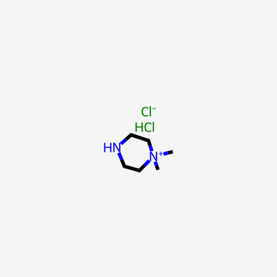 C[N+]1(C)CCNCC1.Cl.[Cl-]